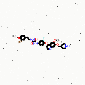 COc1ccc(CCNC(=O)C(=O)Nc2ccc(Oc3ccnc4cc(OCC5CCNCC5)c(OC)cc34)c(F)c2)cc1Br